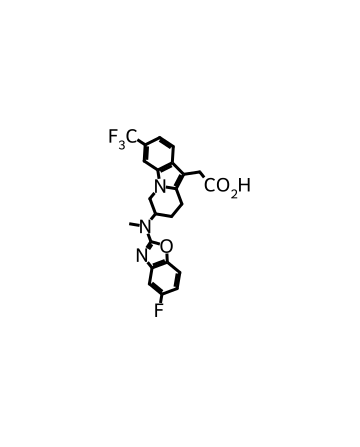 CN(c1nc2cc(F)ccc2o1)C1CCc2c(CC(=O)O)c3ccc(C(F)(F)F)cc3n2C1